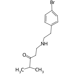 CC(C)C(=O)CCNCCc1ccc(Br)cc1